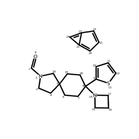 O=CN1CCC2(CCC(c3cccs3)(N3CCC3)CC2)C1.c1cc2cc-2c1